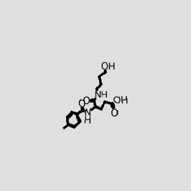 Cc1ccc(C(=O)NC(CCC(=O)O)C(=O)NCCCCO)cc1